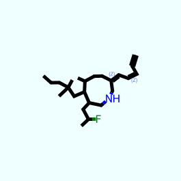 C#C/C=C\C=C1\CCC(C)C(CC(C)(C)CCC)C(CC(C)F)CNC1